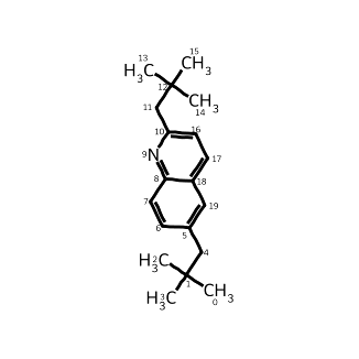 CC(C)(C)Cc1ccc2nc(CC(C)(C)C)ccc2c1